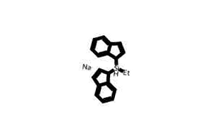 CC[SiH](C1C=Cc2ccccc21)C1C=Cc2ccccc21.[Na]